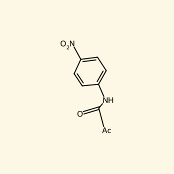 CC(=O)C(=O)Nc1ccc([N+](=O)[O-])cc1